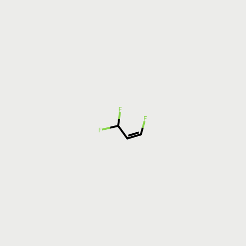 F/C=C\C(F)F